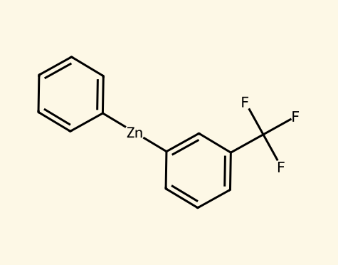 FC(F)(F)c1ccc[c]([Zn][c]2ccccc2)c1